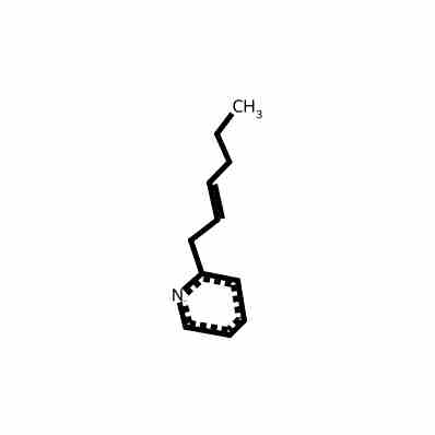 CCC/C=C/Cc1ccccn1